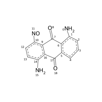 Nc1cccc2c1C(=O)c1c(N=O)ccc(N)c1C2=O